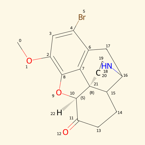 COc1cc(Br)c2c3c1O[C@@H]1C(=O)CCC4C(C2)NCC[C@]341